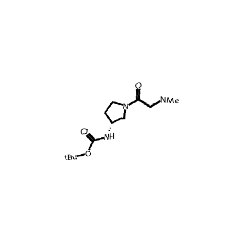 CNCC(=O)N1CC[C@@H](NC(=O)OC(C)(C)C)C1